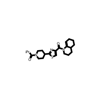 CC(C)C(=O)N1CCC(c2nc(C(=O)N3CCCC4CCCC=C43)cs2)CC1